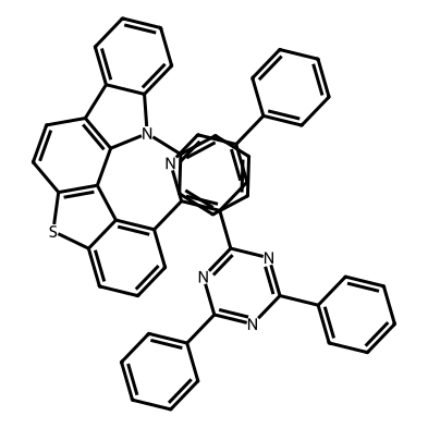 c1ccc(-c2cnc(-c3cccc4sc5ccc6c7ccccc7n(-c7ccccc7)c6c5c34)c(-c3nc(-c4ccccc4)nc(-c4ccccc4)n3)c2)cc1